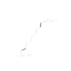 CCCCCC=CCCCCCC=CCCCCC